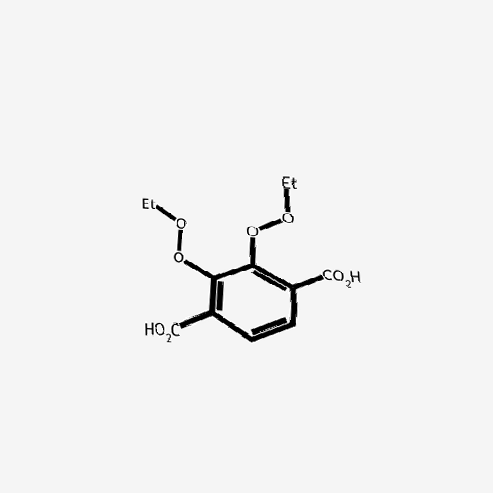 CCOOc1c(C(=O)O)ccc(C(=O)O)c1OOCC